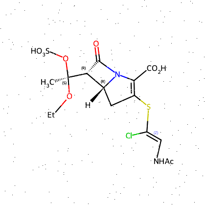 CCO[C@@](C)(OS(=O)(=O)O)[C@@H]1C(=O)N2C(C(=O)O)=C(S/C(Cl)=C/NC(C)=O)C[C@H]12